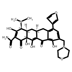 CN(C)[C@@H]1C(O)=C(C(N)=O)C(=O)[C@@]2(O)C(O)=C3C(=O)c4c(O)c(CN5CCOCC5)cc(-c5ccoc5)c4C[C@@H]3C[C@H]12